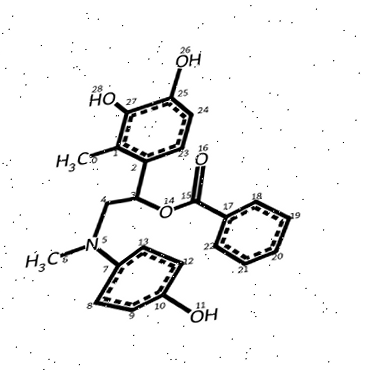 Cc1c(C(CN(C)c2ccc(O)cc2)OC(=O)c2ccccc2)ccc(O)c1O